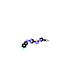 C#CC1CCN(c2nnc(-c3cnc(NC4Cc5cc(F)c(F)cc5C4)nc3)o2)C1